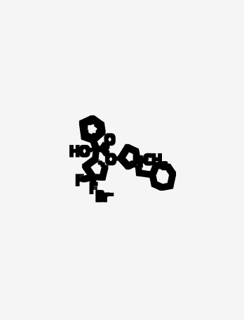 C[N+]1(CC2CCCCCC2)CC[C@@H](OC(=O)[C@](O)(c2ccccc2)[C@@H]2CCC(F)(F)C2)C1.[Br-]